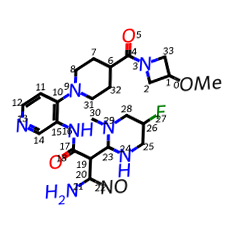 COC1CN(C(=O)C2CCN(c3ccncc3NC(=O)C(C(N)N=O)C3NCC(F)CN3C)CC2)C1